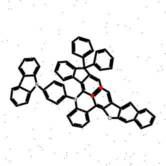 c1ccc(C2(c3ccccc3)c3ccccc3-c3c(N(c4ccc(-n5c6ccccc6c6ccccc65)cc4)c4ccccc4-c4cccc5c4oc4cc6ccccc6cc45)cccc32)cc1